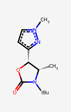 C[C@H]1[C@@H](c2ccn(C)n2)OC(=O)N1C(C)(C)C